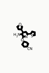 N#Cc1ccc(Oc2nc(-c3cccs3)cc(-c3ccoc3)c2N)cc1